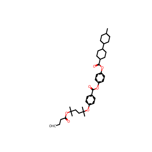 CC1CCC(C2CCC(C(=O)Oc3ccc(OC(=O)c4ccc(OC(C)(C)CCC(C)(C)OC(=O)CCC=O)cc4)cc3)CC2)CC1